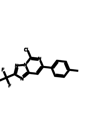 Cc1ccc(-c2cc3nc(C(F)(F)F)nn3c(Cl)n2)cc1